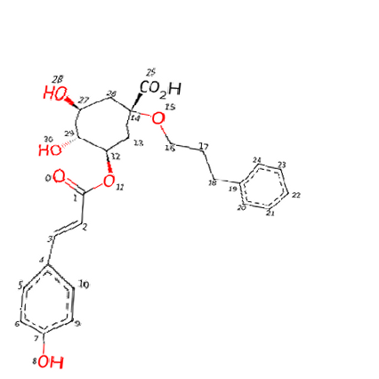 O=C(/C=C/c1ccc(O)cc1)O[C@@H]1C[C@](OCCCc2ccccc2)(C(=O)O)C[C@H](O)[C@H]1O